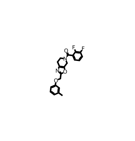 Cc1cccc(OCc2nc3c(o2)CN(C(=O)c2cccc(F)c2F)CC3)c1